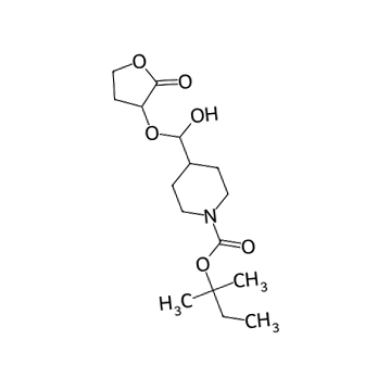 CCC(C)(C)OC(=O)N1CCC(C(O)OC2CCOC2=O)CC1